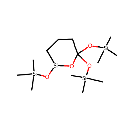 C[Si](C)(C)O[Si]1CCCC(O[Si](C)(C)C)(O[Si](C)(C)C)O1